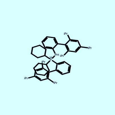 CC(C)c1cc(C(C)C)c(-c2ccccc2P[PH](c2ccccc2-c2c(C(C)C)cc(C(C)C)cc2C(C)C)(C2CCCCC2)C2CCCCC2)c(C(C)C)c1